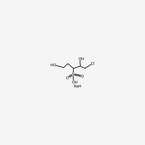 O=S(=O)(O)C(CCO)C(O)CCl.[NaH]